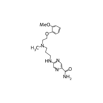 COc1ccccc1OCCN(C)CCCNc1cnc(C(N)=O)cn1